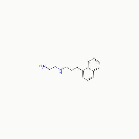 NCCNCCCc1cccc2ccccc12